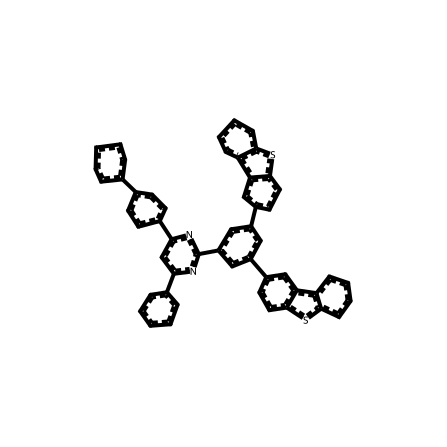 c1ccc(-c2ccc(-c3cc(-c4ccccc4)nc(-c4cc(-c5ccc6sc7ccccc7c6c5)cc(-c5ccc6sc7ccccc7c6c5)c4)n3)cc2)cc1